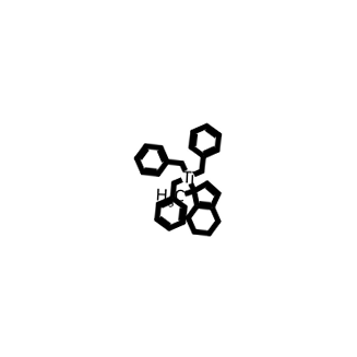 C[C]1([Ti]([CH2]c2ccccc2)([CH2]c2ccccc2)[CH2]c2ccccc2)C=CC2=C1CCCC2